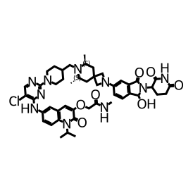 CNC(=O)COc1cc2cc(Nc3nc(N4CCC(CN5[C@@H](C)CC6(C[C@@H]5C)CN(c5ccc7c(c5)C(=O)N(C5CCC(=O)NC5=O)C7O)C6)CC4)ncc3Cl)ccc2n(C(C)C)c1=O